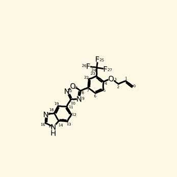 C=CCOc1ccc(-c2nc(-c3ccc4[nH]cnc4c3)no2)cc1C(F)(F)F